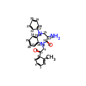 Cc1ccccc1C(=O)CN1C(=O)C(N)CN(c2ccccc2)c2ccccc21